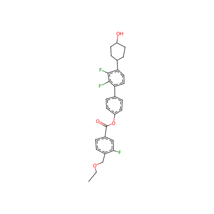 CCOCc1ccc(C(=O)Oc2ccc(-c3ccc(C4CCC(O)CC4)c(F)c3F)cc2)cc1F